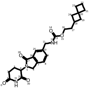 O=C1CCC(N2Cc3ccc(CNC(=O)OCCC4CC5(CCC5)C4)cc3C2=O)C(=O)N1